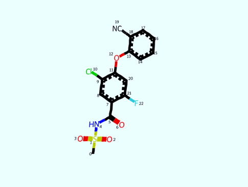 CS(=O)(=O)NC(=O)c1cc(Cl)c(Oc2ccccc2C#N)cc1F